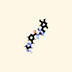 Cc1cc(C)c(-c2cnc(NC(=O)c3cccc(Cn4cc(N)cn4)c3)n2C)cc1C